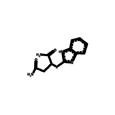 NC(=O)CC(Sc1nc2ccccc2[nH]1)C(N)=O